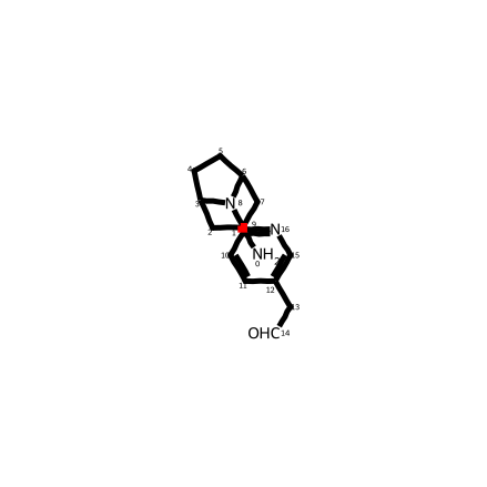 NC1CC2CCC(C1)N2c1ccc(CC=O)cn1